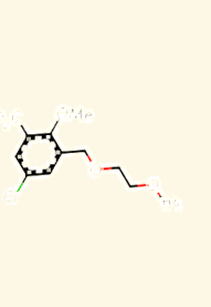 COc1c(COCCOC(C)(C)C)cc(Cl)cc1C(=O)O